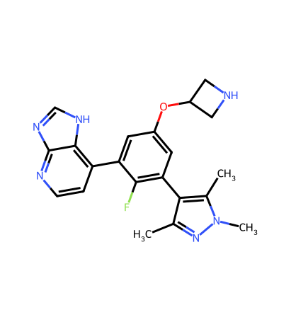 Cc1nn(C)c(C)c1-c1cc(OC2CNC2)cc(-c2ccnc3nc[nH]c23)c1F